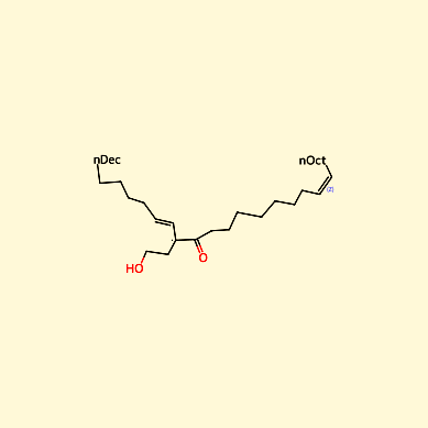 CCCCCCCC/C=C\CCCCCCCC(=O)[C](C=CCCCCCCCCCCCCCC)CCO